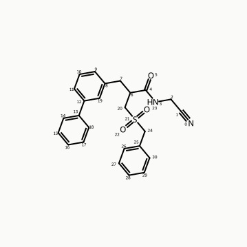 N#CCNC(=O)C(Cc1cccc(-c2ccccc2)c1)CS(=O)(=O)Cc1ccccc1